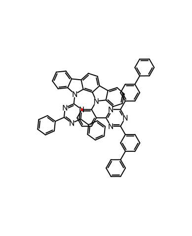 c1ccc(-c2ccc(-c3nc(-c4cccc(-c5ccccc5)c4)nc(-c4ccccc4-n4c5ccccc5c5ccc6c7ccccc7n(-c7nc(-c8ccccc8)nc(-c8ccccc8)n7)c6c54)n3)cc2)cc1